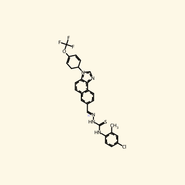 Cc1cc(Cl)ccc1NC(=S)N/N=C/c1ccc2c(ccc3c2ncn3C2C=CC(OC(F)(F)F)=CC2)c1